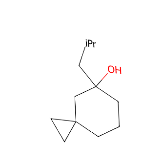 CC(C)CC1(O)CCCC2(CC2)C1